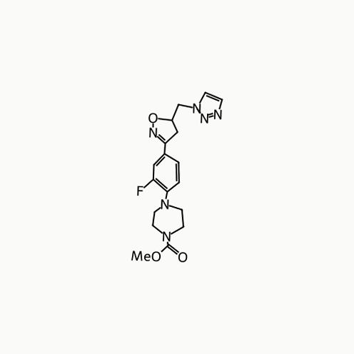 COC(=O)N1CCN(c2ccc(C3=NOC(Cn4ccnn4)C3)cc2F)CC1